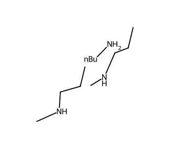 CCCCN.CCCNC.CCCNC